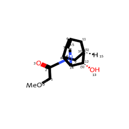 COCC(=O)N1CC2=CC3C[C@@H](C2)[C@H](O)C31